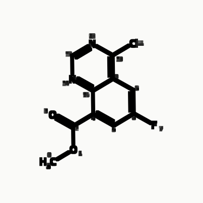 COC(=O)c1cc(F)cc2c(Cl)ncnc12